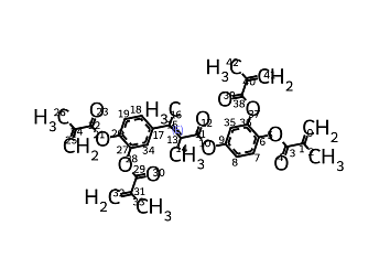 C=C(C)C(=O)Oc1ccc(OC(=O)/C(C)=C(\C)c2ccc(OC(=O)C(=C)C)c(OC(=O)C(=C)C)c2)cc1OC(=O)C(=C)C